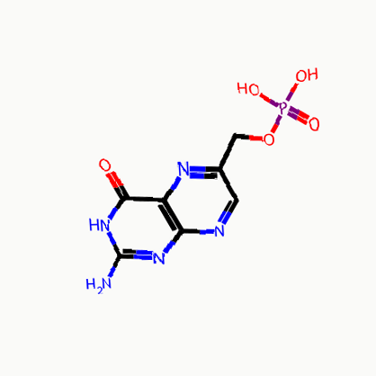 Nc1nc2ncc(COP(=O)(O)O)nc2c(=O)[nH]1